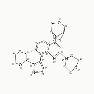 c1cc2c(N3C4CCC3COC4)cc(N3CCOCC3)nc2c(-c2ccnn2C2CCCCO2)n1